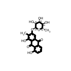 Cc1c(O[C@@H]2O[C@@H](C)[C@H](O)[C@@H](O)[C@H]2O)cc2c(c1O)C(=O)c1c(O)cccc1C2=O